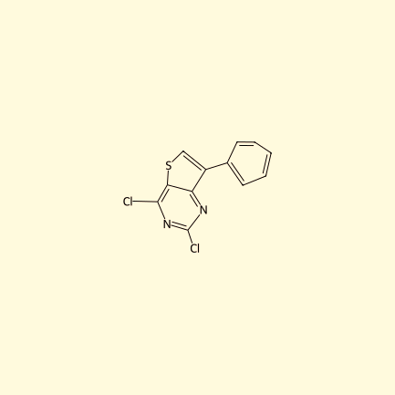 Clc1nc(Cl)c2scc(-c3ccccc3)c2n1